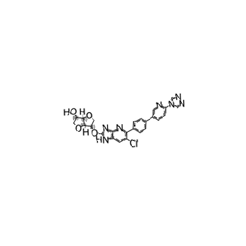 O[C@@H]1CO[C@H]2[C@@H]1OC[C@H]2Oc1nc2nc(-c3ccc(-c4ccc(-n5cnnc5)nc4)cc3)c(Cl)cc2[nH]1